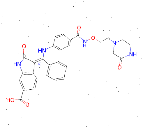 O=C1CN(CCONC(=O)c2ccc(N/C(=C3\C(=O)Nc4cc(C(=O)O)ccc43)c3ccccc3)cc2)CCN1